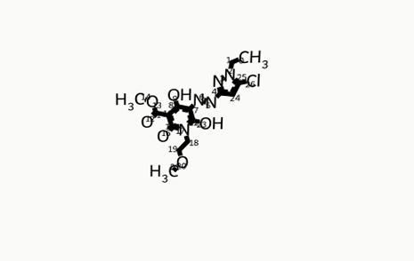 CCn1nc(N=Nc2c(O)c(C(=O)OC)c(=O)n(CCOC)c2O)cc1Cl